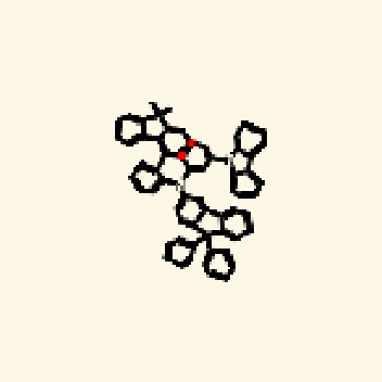 CC1(C)c2ccccc2-c2c(-c3ccccc3N(c3cccc(-n4c5ccccc5c5ccccc54)c3)c3ccc4c(c3)-c3ccccc3C4(c3ccccc3)c3ccccc3)cccc21